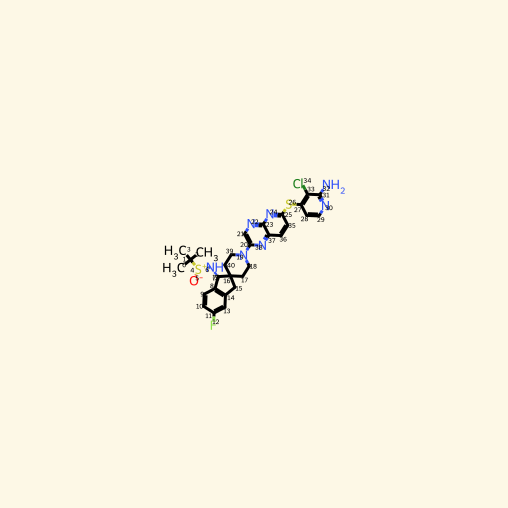 CC(C)(C)[S+]([O-])N[C@@H]1c2ccc(F)cc2CC12CCN(c1cnc3nc(Sc4ccnc(N)c4Cl)ccc3n1)CC2